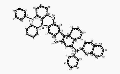 c1ccc(N2c3ccccc3B3c4cc5sc6cc(N(c7ccccc7)c7ccc8ccccc8c7)c7ccccc7c6c5cc4Oc4cccc2c43)cc1